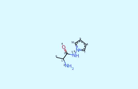 CC(N)C(=O)Nn1cccc1